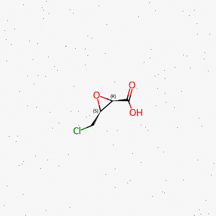 O=C(O)[C@@H]1O[C@@H]1CCl